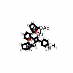 CC(=O)OC1C(OC2C(c3ccccc3)C(OC3CC4CCC(C3OC(C)=O)N4C)C2c2ccccc2)CC2CCC1N2C.CCl